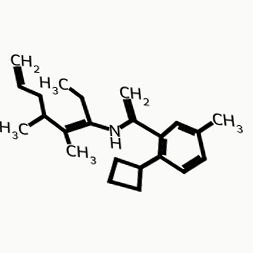 C=CCC(C)/C(C)=C(\CC)NC(=C)c1cc(C)ccc1C1CCC1